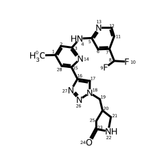 Cc1cc(Nc2cc(C(F)F)ccn2)nc(-c2cn(CC3CNC(=O)C3)nn2)c1